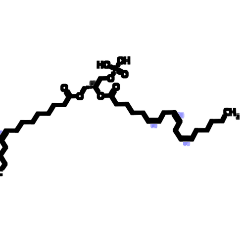 CCCC/C=C\CCCCCCCC(=O)OC[C@H](COP(=O)(O)O)OC(=O)CCCC/C=C\C/C=C\C/C=C\CCCCC